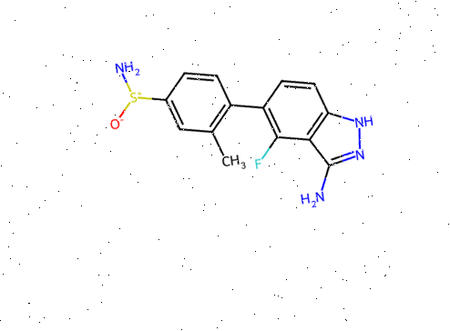 Cc1cc([S+](N)[O-])ccc1-c1ccc2[nH]nc(N)c2c1F